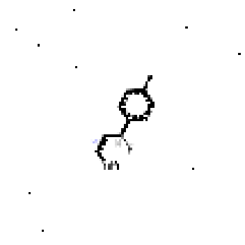 CCC/C=C\[C@@H](F)c1ccc(C)cc1